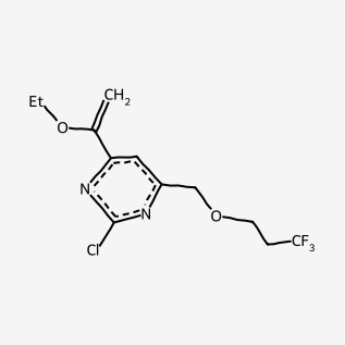 C=C(OCC)c1cc(COCCC(F)(F)F)nc(Cl)n1